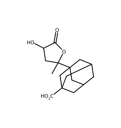 CC1(C23CC4CC(CC(C(=O)O)(C4)C2)C3)CC(O)C(=O)O1